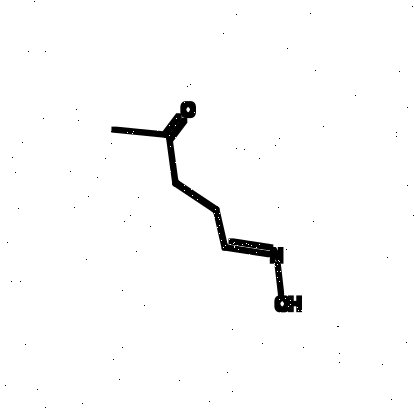 CC(=O)CCC=NO